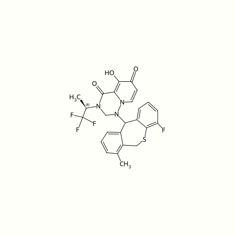 Cc1cccc2c1CSc1c(F)cccc1C2N1CN([C@H](C)C(F)(F)F)C(=O)c2c(O)c(=O)ccn21